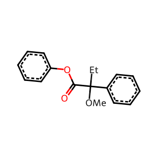 CCC(OC)(C(=O)Oc1ccccc1)c1ccccc1